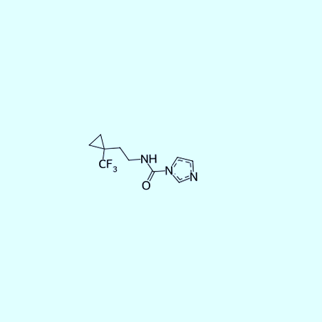 O=C(NCCC1(C(F)(F)F)CC1)n1ccnc1